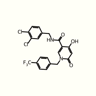 O=C(NCc1ccc(Cl)c(Cl)c1)c1cn(Cc2ccc(C(F)(F)F)cc2)c(=O)cc1O